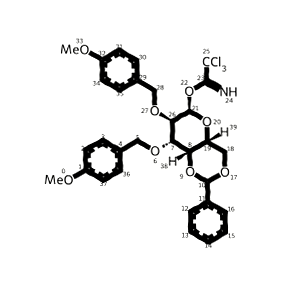 COc1ccc(CO[C@H]2[C@H]3OC(c4ccccc4)OC[C@H]3O[C@H](OC(=N)C(Cl)(Cl)Cl)[C@@H]2OCc2ccc(OC)cc2)cc1